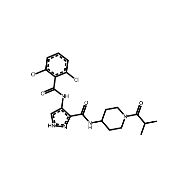 CC(C)C(=O)N1CCC(NC(=O)c2n[nH]cc2NC(=O)c2c(Cl)cccc2Cl)CC1